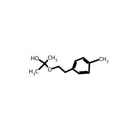 Cc1ccc(CCOC(C)(C)O)cc1